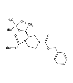 CC(O[Si](C)(C)C(C)(C)C)[C@H]1CN(C(=O)OCc2ccccc2)CCN1C(=O)OC(C)(C)C